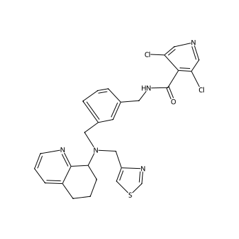 O=C(NCc1cccc(CN(Cc2cscn2)C2CCCc3cccnc32)c1)c1c(Cl)cncc1Cl